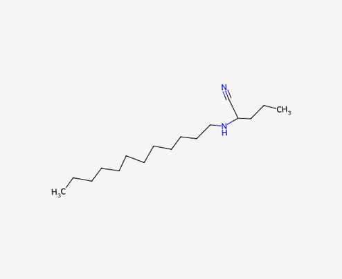 CCCCCCCCCCCCNC(C#N)CCC